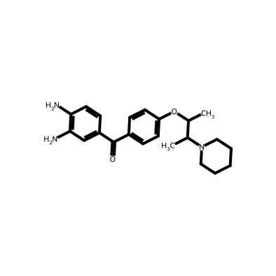 CC(Oc1ccc(C(=O)c2ccc(N)c(N)c2)cc1)C(C)N1CCCCC1